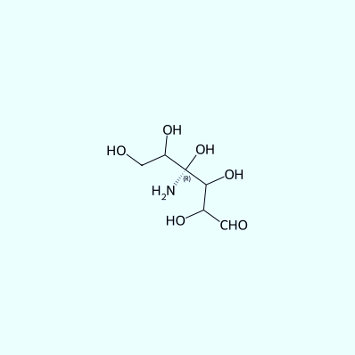 N[C@@](O)(C(O)CO)C(O)C(O)C=O